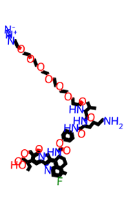 CC[C@@]1(O)C(=O)OCc2c1cc1n(c2=O)Cc2c-1nc1cc(F)c(C)c3c1c2[C@@H](NC(=O)Oc1ccc(NC(=O)C(CCCCN)NC(=O)[C@@H](NC(=O)CCOCCOCCOCCOCCOCCOCCN=[N+]=[N-])C(C)C)cc1)CC3